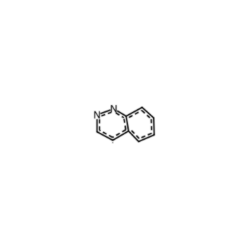 [c]1cnnc2ccccc12